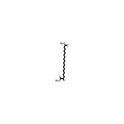 CC(C)COC(=O)CCCCCCCCCCCCCCCCC(C)C(=O)OCC(C)C